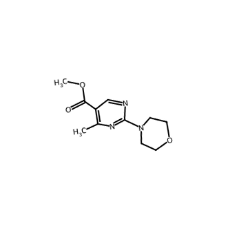 COC(=O)c1cnc(N2CCOCC2)nc1C